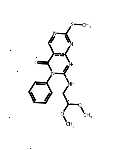 COC(CNc1nc2nc(SC)ncc2c(=O)n1-c1ccccc1)OC